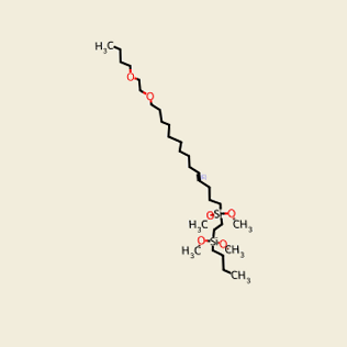 CCCCOCCOCCCCCCCCC/C=C/CCC[Si](CC[Si](CCCC)(OC)OC)(OC)OC